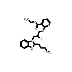 CCOC(=O)c1cccnc1OCC(O)CN1c2ccccc2NC1CCCN